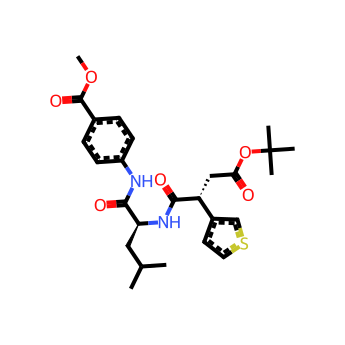 COC(=O)c1ccc(NC(=O)[C@H](CC(C)C)NC(=O)[C@H](CC(=O)OC(C)(C)C)c2ccsc2)cc1